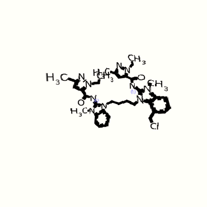 CCn1nc(C)cc1C(=O)/N=c1\n(C)c2ccccc2n1CCCCn1/c(=N/C(=O)c2cc(C)nn2CC)n(C)c2cccc(CCl)c21